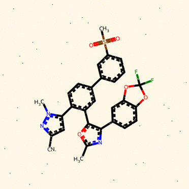 Cc1nc(-c2ccc3c(c2)OC(F)(F)O3)c(-c2cc(-c3cccc(S(C)(=O)=O)c3)ccc2-c2cc(C#N)nn2C)o1